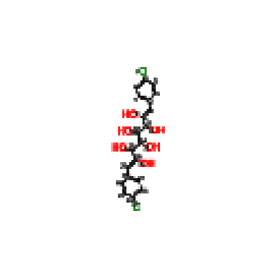 OC(=Cc1ccc(Cl)cc1)C(O)C(O)C(O)C(O)C(O)=Cc1ccc(Cl)cc1